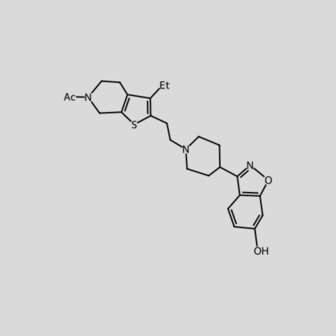 CCc1c(CCN2CCC(c3noc4cc(O)ccc34)CC2)sc2c1CCN(C(C)=O)C2